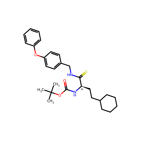 CC(C)(C)OC(=O)N[C@H](CCC1CCCCC1)C(=S)NCc1ccc(Oc2ccccc2)cc1